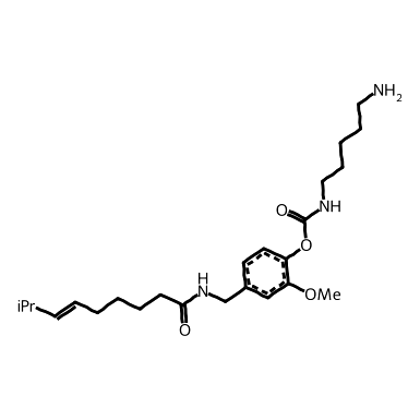 COc1cc(CNC(=O)CCCC/C=C/C(C)C)ccc1OC(=O)NCCCCCN